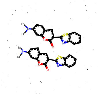 CCN(CC)c1ccc2cc(-c3nc4ccccc4s3)c(=O)oc2c1.CCN(CC)c1ccc2cc(-c3nc4ccccc4s3)c(=O)oc2c1